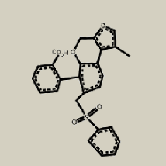 Cc1coc2c1-c1ccc(CS(=O)(=O)c3ccccc3)c(-c3ccccc3C(=O)O)c1OC2